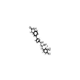 N[C@@H](CNc1ncc(-c2ccc3c(c2)CC(=O)N3)s1)Cc1ccc(Cl)c(Cl)c1